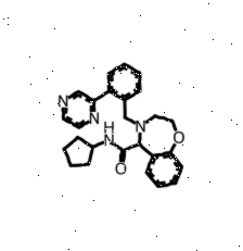 O=C(NC1CCCC1)C1c2ccccc2OCCN1Cc1ccccc1-c1cnccn1